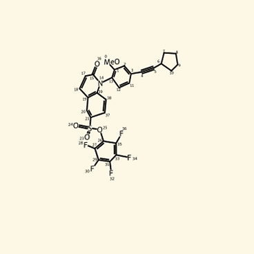 COc1cc(C#CC2CCCC2)ccc1-n1c(=O)ccc2cc(S(=O)(=O)Oc3c(F)c(F)c(F)c(F)c3F)ccc21